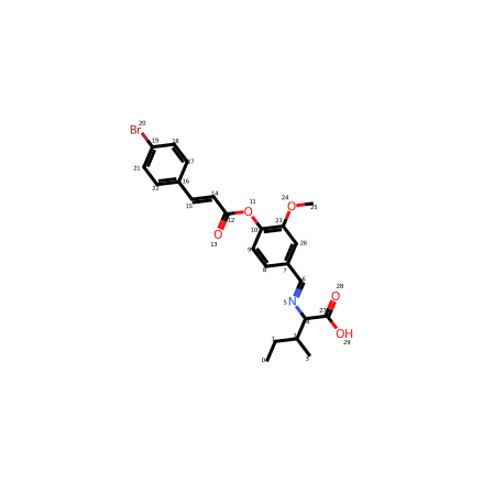 CCC(C)C(/N=C/c1ccc(OC(=O)/C=C/c2ccc(Br)cc2)c(OC)c1)C(=O)O